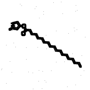 CCCCCCCCCCCCCCCCCCC(=O)OC1C[CH]N(C)C1